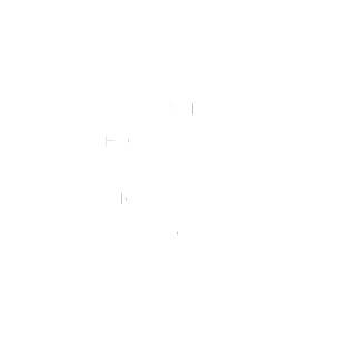 C/C=C\C(C(=O)O)C(=O)O